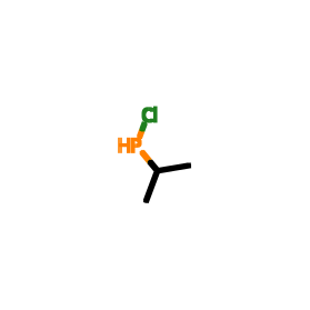 CC(C)PCl